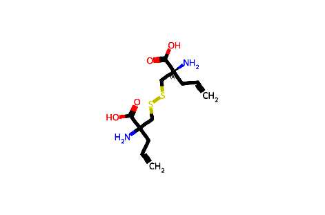 C=CCC(N)(CSSC[C@@](N)(CC=C)C(=O)O)C(=O)O